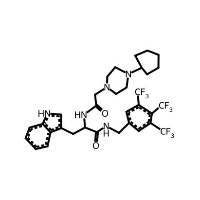 O=C(CN1CCN(C2CCCCC2)CC1)NC(Cc1c[nH]c2ccccc12)C(=O)NCc1cc(C(F)(F)F)c(C(F)(F)F)c(C(F)(F)F)c1